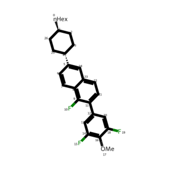 CCCCCC[C@H]1CC[C@H](c2ccc3c(F)c(-c4cc(F)c(OC)c(F)c4)ccc3c2)CC1